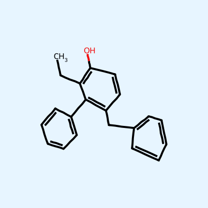 CCc1c(O)ccc(Cc2ccccc2)c1-c1ccccc1